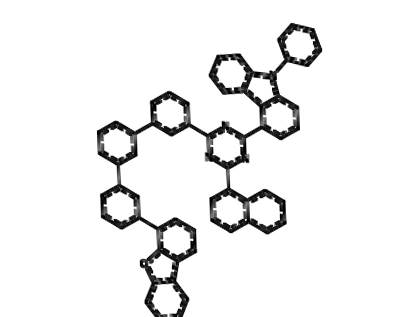 c1ccc(-n2c3ccccc3c3c(-c4nc(-c5cccc(-c6cccc(-c7cccc(-c8cccc9c8oc8ccccc89)c7)c6)c5)nc(-c5cccc6ccccc56)n4)cccc32)cc1